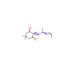 C/C=C\N=C(/C)NC=C1C(=O)CC(C)(C)CC1=O